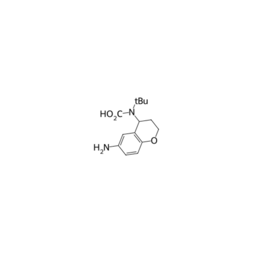 CC(C)(C)N(C(=O)O)C1CCOc2ccc(N)cc21